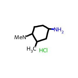 CNC1CCC(N)CC1C.Cl